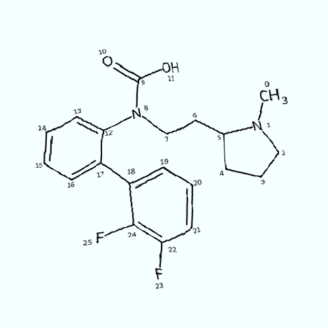 CN1CCCC1CCN(C(=O)O)c1ccccc1-c1cccc(F)c1F